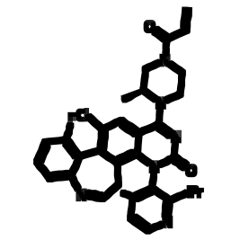 C=CC(=O)N1CCN(c2nc(=O)n(-c3c(C)ccnc3C(C)C)c3c4c(c(Cl)cc23)-c2c(F)cccc2N=CC4)[C@@H](C)C1